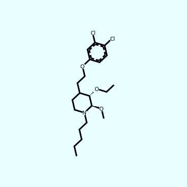 CCCCCN1CCC(CCOc2ccc(Cl)c(Cl)c2)[C@H](OCC)[C@H]1OC